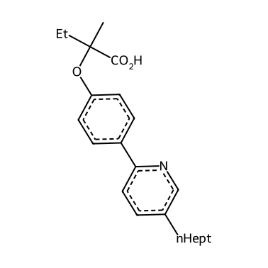 CCCCCCCc1ccc(-c2ccc(OC(C)(CC)C(=O)O)cc2)nc1